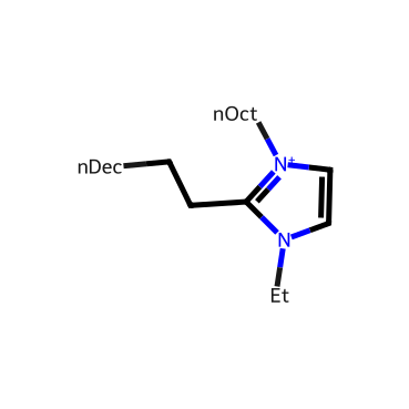 CCCCCCCCCCCCc1n(CC)cc[n+]1CCCCCCCC